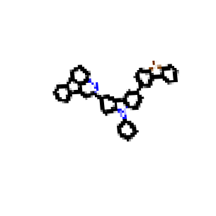 c1ccc(-n2c3ccc(-c4ccc5sc6ccccc6c5c4)cc3c3cc(-c4cc5c6c(cccc6n4)-c4ccccc4-5)ccc32)cc1